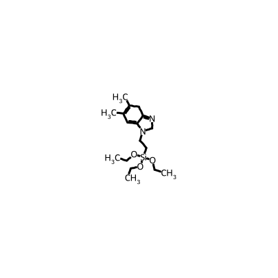 CCO[Si](CCN1CN=C2CC(C)=C(C)C=C21)(OCC)OCC